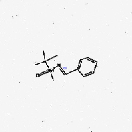 CC(C)(C)[SH](C)(=O)/N=C/c1ccccc1